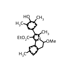 CCOC(=O)c1c(-c2cc(C)c(O)c(C)c2)c(C)n2c1-c1cc(C)ccc1CC2OC